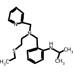 CCSCCN(Cc1ccccn1)Cc1ccccc1NC(C)C